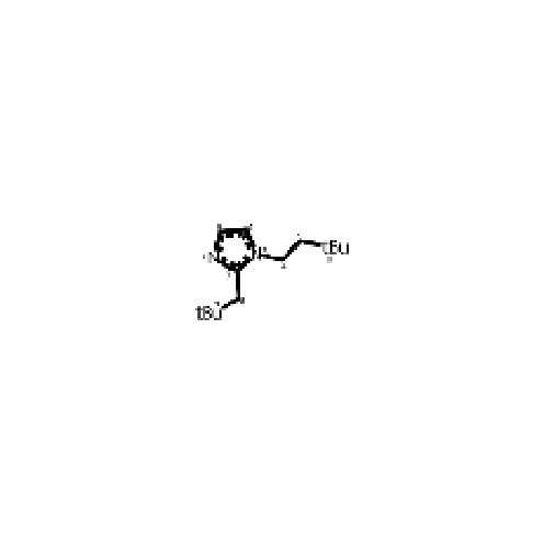 CC(C)(C)CCn1ccnc1CC(C)(C)C